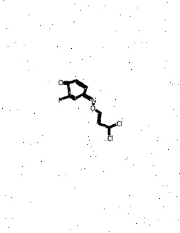 O=C1C=CC(=NOC=CC(Cl)Cl)C=C1I